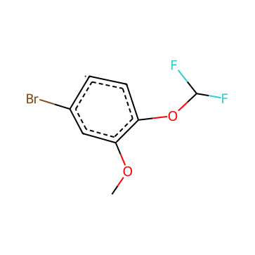 COc1cc(Br)[c]cc1OC(F)F